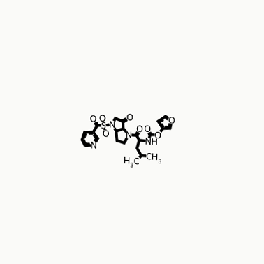 CC(C)CC(NC(=O)Oc1ccoc1)C(=O)N1CCC2C1C(=O)CN2S(=O)(=O)C(=O)c1cccnc1